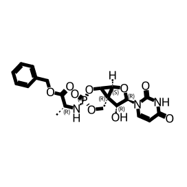 C[C@@H](N[P@@]1(=O)OC[C@]23C(O1)[C@H]2O[C@@H](n1ccc(=O)[nH]c1=O)[C@@H]3O)C(=O)OCc1ccccc1